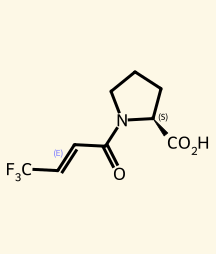 O=C(O)[C@@H]1CCCN1C(=O)/C=C/C(F)(F)F